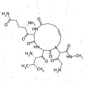 CNC(=O)C(C(=O)CN)N1C/C=C\CCC(=O)NC(C(=O)[C@@H](N)CCC(N)=O)C(=O)NC(C(=O)[C@@H](N)C(C)C)C1=O